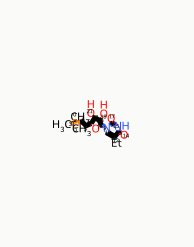 C=P(C)(C)CCC1OC(n2cc(CC)c(=O)[nH]c2=O)[C@H](O)[C@@H]1O